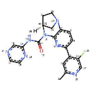 Cc1cc(-c2ccc3c(n2)N(C(=O)Nc2cnccn2)[C@H]2CCN3C2)c(F)cn1